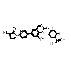 CCC1CCN(c2ccc(-c3cc(C(C)C)c4nc(N[C@H]5CC[C@H](N(C)C)C(F)C5)ncc4c3)cn2)C1=O